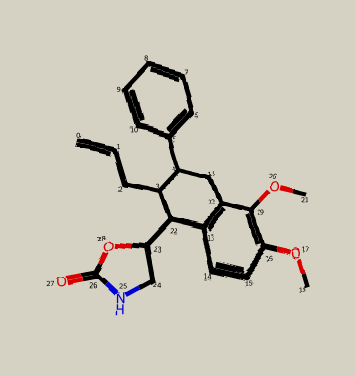 C=CCC1C(c2ccccc2)Cc2c(ccc(OC)c2OC)C1C1CNC(=O)O1